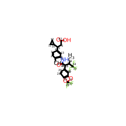 Cc1ccc(C(CC(=O)O)C2CC2)cc1NC(=O)C(c1ccc2c(c1)OC(F)(F)O2)C(C)C(F)(F)F